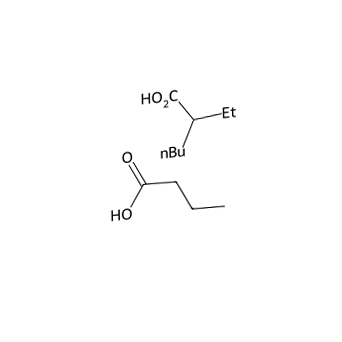 CCCC(=O)O.CCCCC(CC)C(=O)O